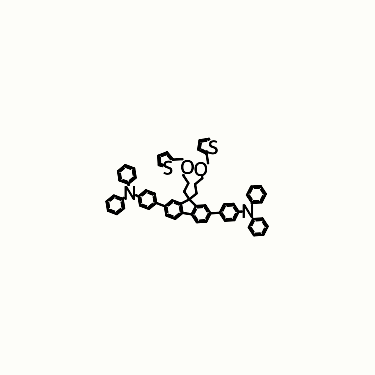 c1ccc(N(c2ccccc2)c2ccc(-c3ccc4c(c3)C(CCCOCc3cccs3)(CCCOCc3cccs3)c3cc(-c5ccc(N(c6ccccc6)c6ccccc6)cc5)ccc3-4)cc2)cc1